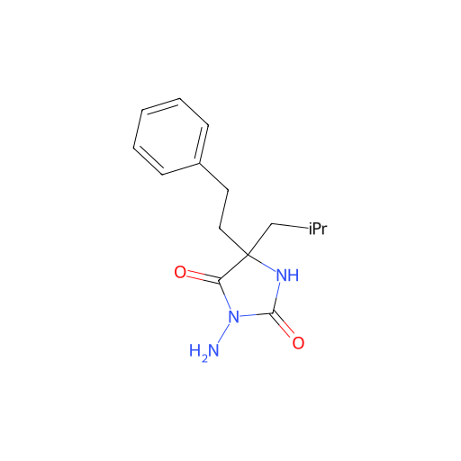 CC(C)CC1(CCc2ccccc2)NC(=O)N(N)C1=O